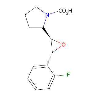 O=C(O)N1CCCC1[C@H]1O[C@@H]1c1ccccc1F